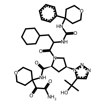 CC(C)(O)c1cnnn1[C@H]1C[C@@H](C(=O)NC2(C(=O)C(N)=O)CCOCC2)N(C(=O)C(CC2CCCCC2)NC(=O)NC2(c3ccccc3)CCOCC2)C1